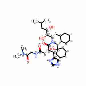 CC(C)C[C@H](O)[C@H](O)[C@H](CC1CCCCC1)N(CC1(O)CCCCC1)C(=O)[C@@H](CC(=O)NCC(=O)N(C)C)Cc1c[nH]cn1